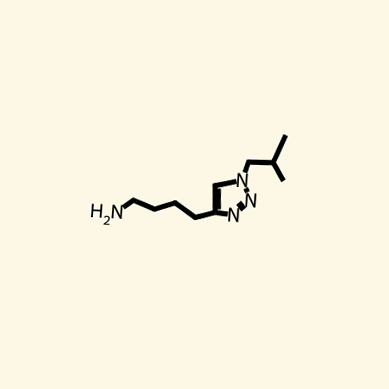 CC(C)Cn1cc(CCCCN)nn1